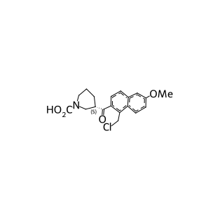 COc1ccc2c(CCl)c(C(=O)[C@H]3CCCN(C(=O)O)C3)ccc2c1